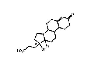 CCC12CCC3C4CCC(=O)C=C4CCC3C1CC[C@@]2(O)CCC(=O)O